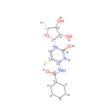 C[C@H]1O[C@@H](n2cc(F)c(NC(=O)C3CCCCC3)nc2=O)C(O)C1O